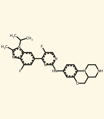 Cc1nc2c(F)cc(-c3nc(Nc4ccc5c(c4)OCC4CNCCN54)ncc3F)cc2n1C(C)C